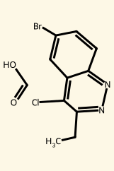 CCc1nnc2ccc(Br)cc2c1Cl.O=CO